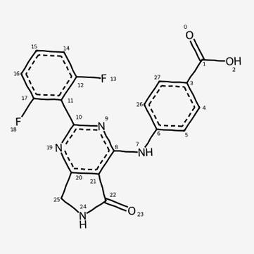 O=C(O)c1ccc(Nc2nc(-c3c(F)cccc3F)nc3c2C(=O)NC3)cc1